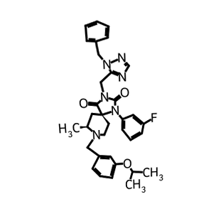 CC(C)Oc1cccc(CN2CC[C@@]3(C[C@@H]2C)C(=O)N(Cc2ncnn2Cc2ccccc2)C(=O)N3c2cccc(F)c2)c1